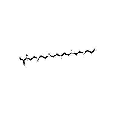 CCCOCCOCCOCCOCCOCCNC(C)C